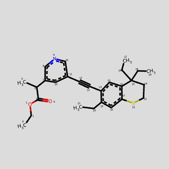 CCOC(=O)C(C)c1cncc(C#Cc2cc3c(cc2CC)SCCC3(CC)CC)c1